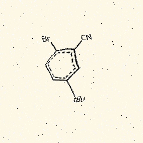 CC(C)(C)c1ccc(Br)c(C#N)c1